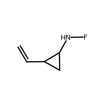 C=CC1CC1NF